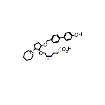 O=C(O)CC/C=C\CO[C@H]1[C@H](OCc2ccc(-c3ccc(O)cc3)cc2)CC[C@@H]1N1CCCCCC1